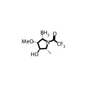 B[C@H]1[C@@H](OC)[C@H](O)[C@@H](C)N1C(=O)C(F)(F)F